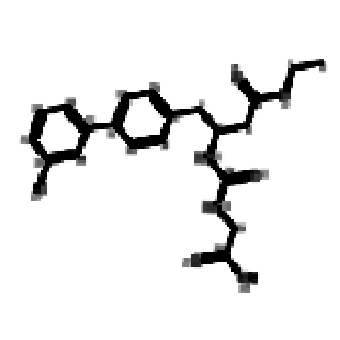 CCOC(=O)CC(Cc1ccc(-c2cccc(Cl)c2)cc1)NC(=O)NCC(=O)O